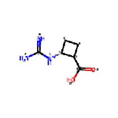 N=C(N)N[C@@H]1CCC1C(=O)O